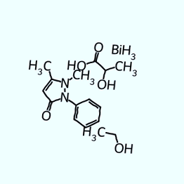 CC(O)C(=O)O.CCO.Cc1cc(=O)n(-c2ccccc2)n1C.[BiH3]